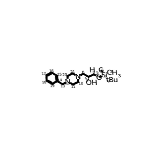 CC(C)(C)[Si](C)(C)OC[C@H](O)CN1CCN(Cc2ccccc2)CC1